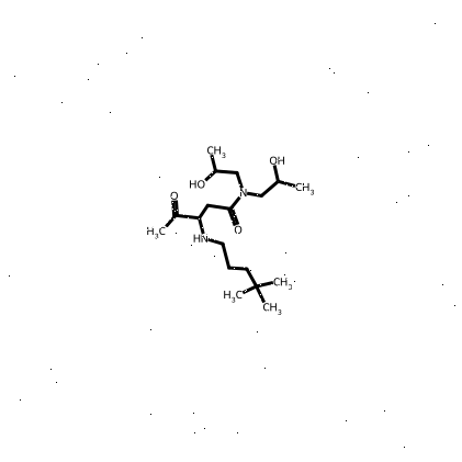 CC(=O)C(CC(=O)N(CC(C)O)CC(C)O)NCCCC(C)(C)C